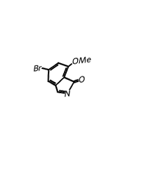 COc1cc(Br)cc2c1C(=O)N=C2